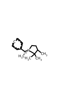 CC1CCN([C@H](C)c2ccccc2)C1(C)C